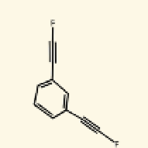 FC#Cc1cccc(C#CF)c1